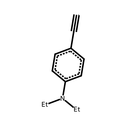 [C]#Cc1ccc(N(CC)CC)cc1